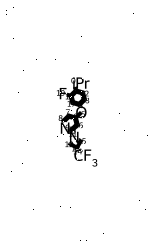 CC(C)c1ccc(Oc2ccnc(N3CC(C(F)(F)F)C3)c2)cc1F